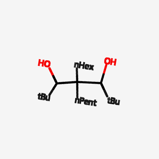 CCCCCCC(CCCCC)(C(O)C(C)(C)C)C(O)C(C)(C)C